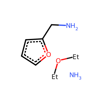 CCOCC.N.NCc1ccco1